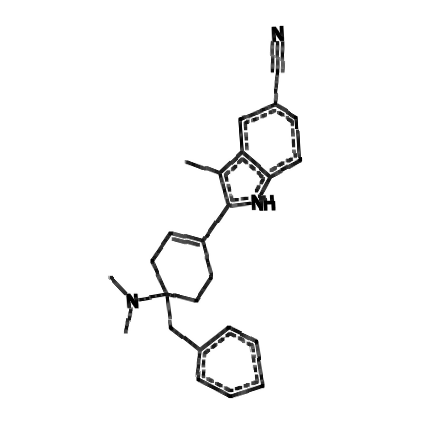 Cc1c(C2=CCC(Cc3ccccc3)(N(C)C)CC2)[nH]c2ccc(C#N)cc12